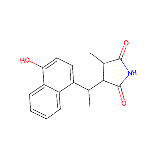 CC1C(=O)NC(=O)C1C(C)c1ccc(O)c2ccccc12